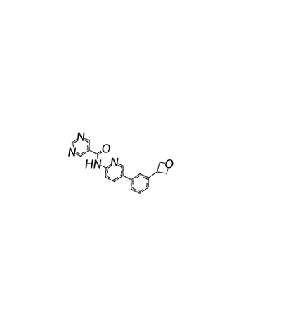 O=C(Nc1ccc(-c2cccc(C3COC3)c2)cn1)c1cncnc1